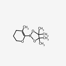 CC1=C(B2OC(C)(C)C(C)(C)O2)OCCC1